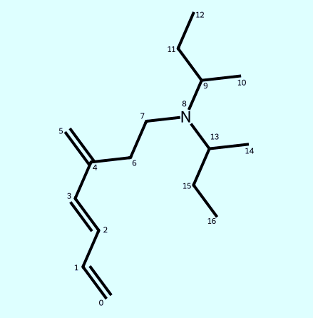 C=CC=CC(=C)CCN(C(C)CC)C(C)CC